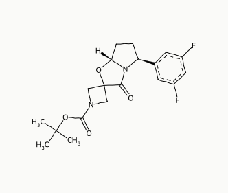 CC(C)(C)OC(=O)N1CC2(C1)O[C@@H]1CC[C@@H](c3cc(F)cc(F)c3)N1C2=O